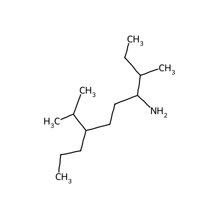 CCCC(CCC(N)C(C)CC)C(C)C